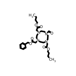 CCCCOC(=O)CN1CCN(C=O)CCN(CC(=O)OCCCC)CCN(CC(=O)OCc2ccccc2)CC1